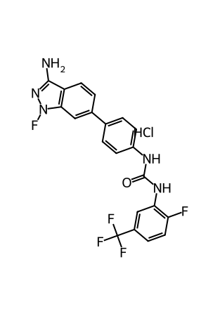 Cl.Nc1nn(F)c2cc(-c3ccc(NC(=O)Nc4cc(C(F)(F)F)ccc4F)cc3)ccc12